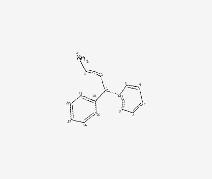 NC=CC(c1ccccc1)c1ccccc1